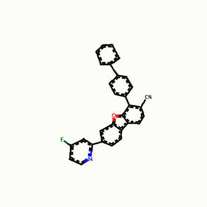 N#Cc1ccc2c(oc3cc(-c4cc(F)ccn4)ccc32)c1-c1ccc(-c2ccccc2)cc1